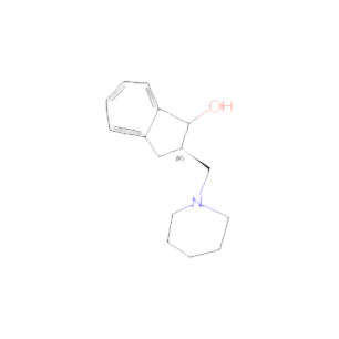 OC1c2ccccc2C[C@@H]1CN1CCCCC1